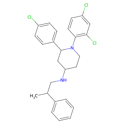 CC(CNC1CCN(c2ccc(Cl)cc2Cl)C(c2ccc(Cl)cc2)C1)c1ccccc1